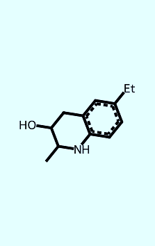 CCc1ccc2c(c1)CC(O)C(C)N2